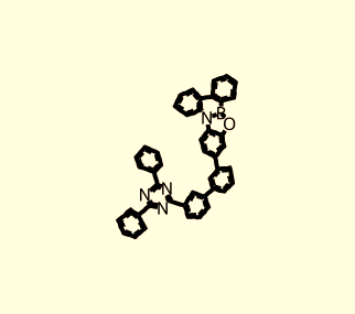 c1ccc(-c2nc(-c3ccccc3)nc(-c3cccc(-c4cccc(-c5ccc6c(c5)OB5c7ccccc7-c7ccccc7N56)c4)c3)n2)cc1